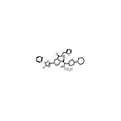 C[C@@H]1N=C(N2CCN(C(=O)[C@H](NC(=O)O)C3CCC(N4CCCCC4)CC3)C(C(=O)NCc3cccs3)C2)O[C@H]1c1ccccc1